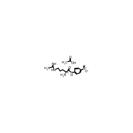 CC(=O)O.N=C(N)NCCC[C@H](N)C(=O)Nc1ccc([N+](=O)[O-])cc1